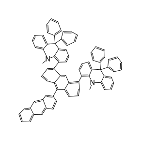 CN1c2ccccc2C(c2ccccc2)(c2ccccc2)c2cccc(-c3cccc4c(-c5ccc6cc7ccccc7cc6c5)c5cccc(-c6cccc7c6N(C)c6ccccc6C7(c6ccccc6)c6ccccc6)c5cc34)c21